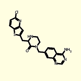 Nc1ncnc2cc(CN3CCNC(Cc4cc5nc(Cl)ccc5s4)C3=O)ccc12